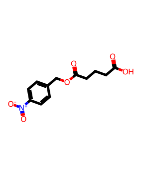 O=C(O)CCCC(=O)OCc1ccc([N+](=O)[O-])cc1